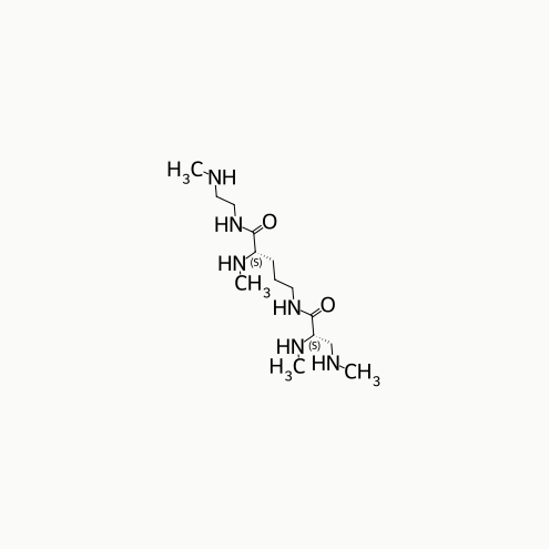 CNCCNC(=O)[C@H](CCCNC(=O)[C@H](CNC)NC)NC